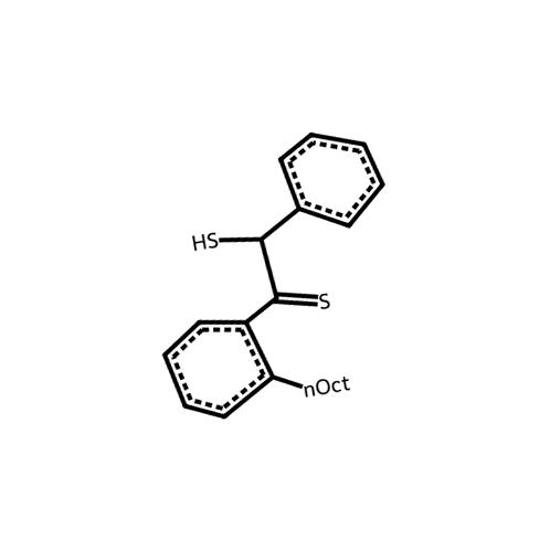 CCCCCCCCc1ccccc1C(=S)C(S)c1ccccc1